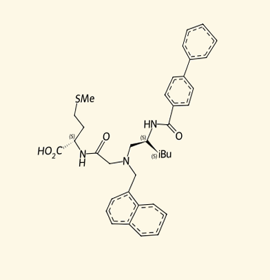 CC[C@H](C)[C@@H](CN(CC(=O)N[C@@H](CCSC)C(=O)O)Cc1cccc2ccccc12)NC(=O)c1ccc(-c2ccccc2)cc1